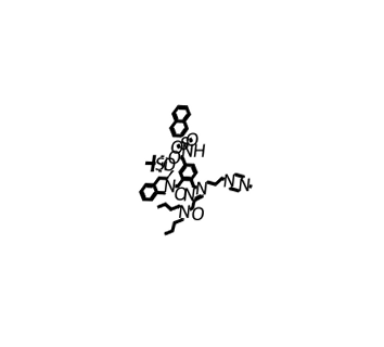 CCCCN(CCCC)C(=O)c1cn(CCCN2CCN(C)CC2)c(-c2ccc(C(=O)NS(=O)(=O)c3ccc4ccccc4c3)cc2C(=O)N2Cc3ccccc3C[C@H]2CO[Si](C)(C)C(C)(C)C)n1